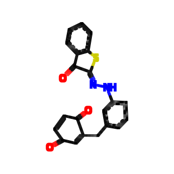 O=C1C=CC(=O)C(Cc2cccc(NN=C3Sc4ccccc4C3=O)c2)=C1